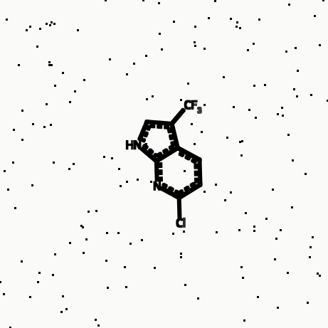 FC(F)(F)c1c[nH]c2nc(Cl)ccc12